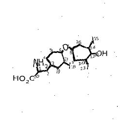 NC(CC1CCC(OC2CC(I)C(O)C(I)C2)C(I)C1)C(=O)O